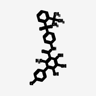 Cc1c(C(=O)Nc2ccc(S(=O)(=O)c3ccccc3C(C)(C)C)cc2)c(O)c(O)c(O)c1-c1ccc(Cl)cc1